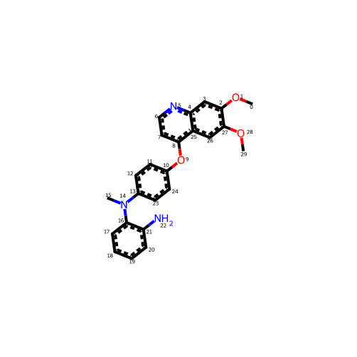 COc1cc2nccc(Oc3ccc(N(C)c4ccccc4N)cc3)c2cc1OC